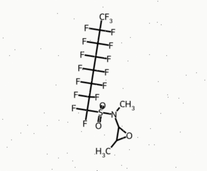 CC1OC1N(C)S(=O)(=O)C(F)(F)C(F)(F)C(F)(F)C(F)(F)C(F)(F)C(F)(F)C(F)(F)C(F)(F)F